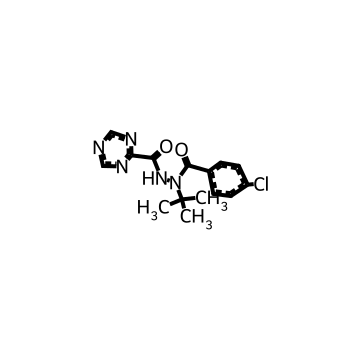 CC(C)(C)N(NC(=O)c1ncncn1)C(=O)c1ccc(Cl)cc1